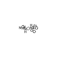 CCSC(C(=O)NC1CCC(Nc2nccc(N(C)C)n2)CC1)(c1ccccc1)c1ccccc1